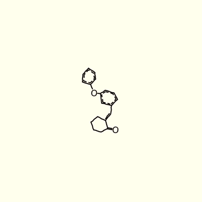 O=C1CCCC/C1=C\c1cccc(Oc2ccccc2)c1